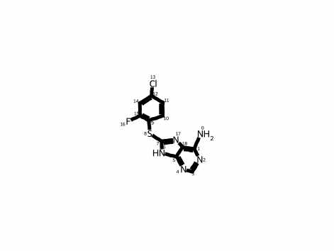 Nc1ncnc2[nH]c(Sc3ccc(Cl)cc3F)nc12